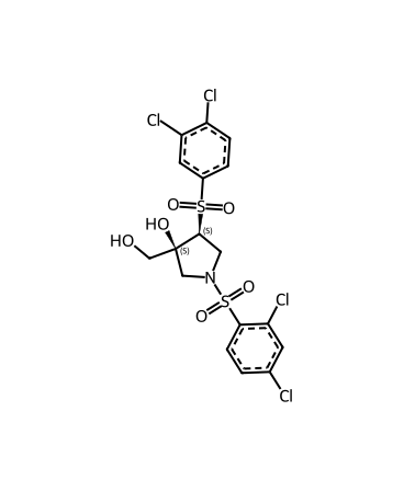 O=S(=O)(c1ccc(Cl)c(Cl)c1)[C@H]1CN(S(=O)(=O)c2ccc(Cl)cc2Cl)C[C@]1(O)CO